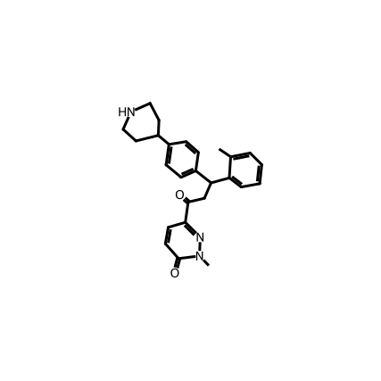 Cc1ccccc1C(CC(=O)c1ccc(=O)n(C)n1)c1ccc(C2CCNCC2)cc1